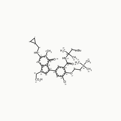 Cn1c(NCC2CC2)nc2c(c(-c3cc(Cl)c(OCC[Si](C)(C)C)c(C(=O)NC(C)(C)CC(C)(C)C)c3)cn2CC(=O)O)c1=O